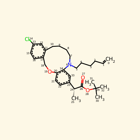 C=CCCCCN1CCCCc2cc(Cl)ccc2COc2ccc([C@@H](C)C(=O)OC(C)(C)C)cc21